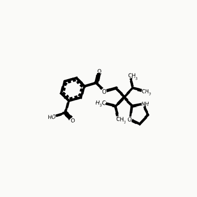 CC(C)C(COC(=O)c1cccc(C(=O)O)c1)(C(C)C)C1NCCO1